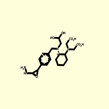 NNC1OC1c1ccc(CN(CC(O)O)[C@H]2CCCCC2N(CC(=O)O)CC(=O)O)nc1